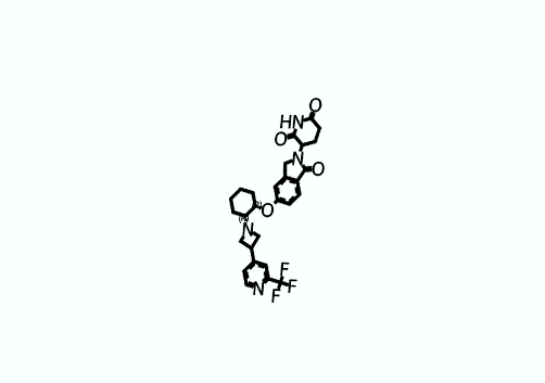 O=C1CCC(N2Cc3cc(O[C@@H]4CCCC[C@H]4N4CC(c5ccnc(C(F)(F)F)c5)C4)ccc3C2=O)C(=O)N1